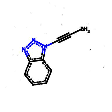 BC#Cn1nnc2ccccc21